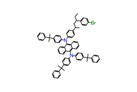 CCC(CC(C)c1ccc(N(c2ccc(C(C)(C)c3ccccc3)cc2)c2c3ccccc3c(N(c3ccc(C(C)(C)c4ccccc4)cc3)c3ccc(C(C)(C)c4ccccc4)cc3)c3ccccc23)cc1)c1ccc(Br)cc1